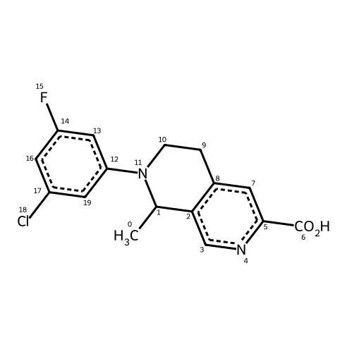 CC1c2cnc(C(=O)O)cc2CCN1c1cc(F)cc(Cl)c1